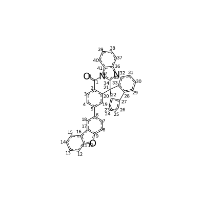 O=C1c2ccc(-c3ccc4oc5ccccc5c4c3)cc2C2(c3ccccc3-c3ccccc32)c2nc3ccccc3n21